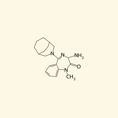 CN1C(=O)C(N)N=C(N2CC3CCCC(CC3)C2)c2ccccc21